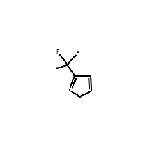 FC(F)(F)C1=NCC=C1